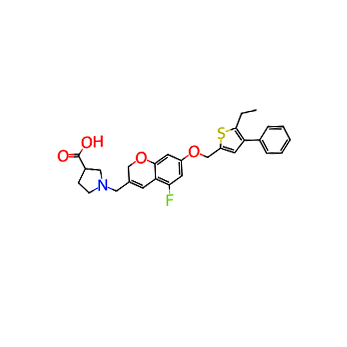 CCc1sc(COc2cc(F)c3c(c2)OCC(CN2CCC(C(=O)O)C2)=C3)cc1-c1ccccc1